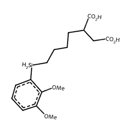 COc1cccc([SiH2]CCCCC(CC(=O)O)C(=O)O)c1OC